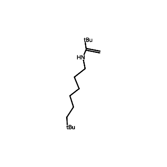 C=C(NCCCCCCC(C)(C)C)C(C)(C)C